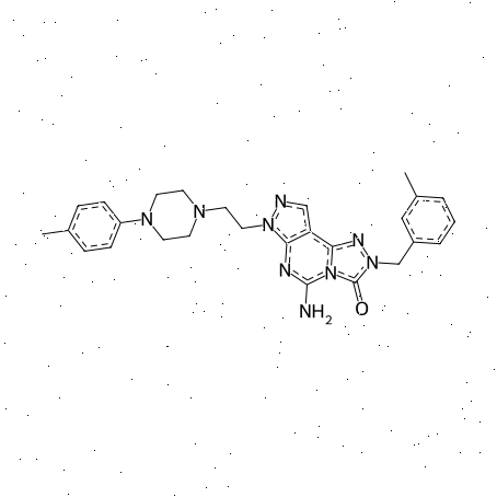 Cc1ccc(N2CCN(CCn3ncc4c3nc(N)n3c(=O)n(Cc5cccc(C)c5)nc43)CC2)cc1